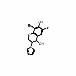 Oc1c(Br)cc2c(c1Br)OCC(n1ccnc1)C2O